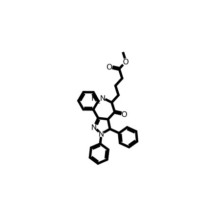 COC(=O)CCCC(N)C(=O)C1C(c2ccccc2)=NN(c2ccccc2)C1c1ccccc1